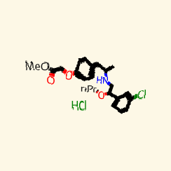 CCCOC(CNC(C)Cc1ccc(OCC(=O)OC)cc1)c1cccc(Cl)c1.Cl